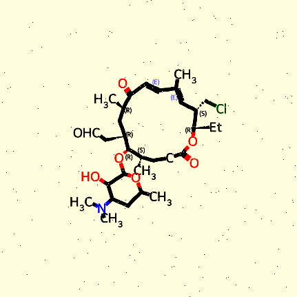 CC[C@H]1OC(=O)CC[C@H](C)[C@@H](OC2OC(C)CC(N(C)C)C2O)[C@@H](CC=O)C[C@@H](C)C(=O)/C=C/C(C)=C/[C@@H]1CCl